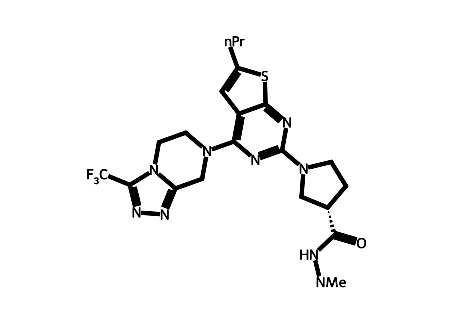 CCCc1cc2c(N3CCn4c(nnc4C(F)(F)F)C3)nc(N3CC[C@H](C(=O)NNC)C3)nc2s1